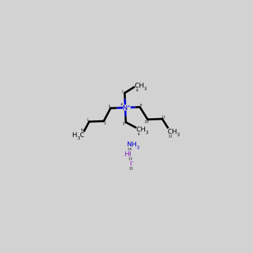 CCCC[N+](CC)(CC)CCCC.I.N.[I-]